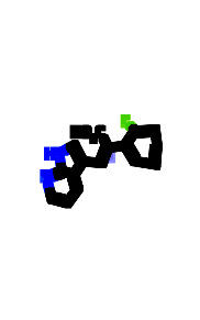 O=C(O)/C(=C\c1c[nH]c2ncccc12)c1ccccc1F